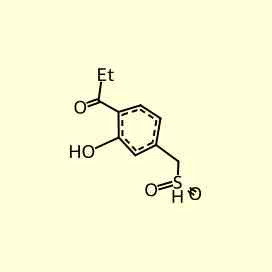 CCC(=O)c1ccc(C[SH](=O)=O)cc1O